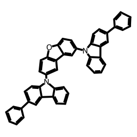 c1ccc(-c2ccc3c(c2)c2ccccc2n3-c2ccc3oc4ccc(-n5c6ccccc6c6cc(-c7ccccc7)ccc65)cc4c3c2)cc1